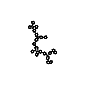 c1ccc(-c2ccc(N(c3ccc(-c4cccc(-c5ccn6c(c5)c(-c5ccccc5)c5c7ccccc7c7cc(-c8ccc(N(c9ccc(-c%10cccc%11ccccc%10%11)cc9)c9ccc(-c%10cccc%11ccccc%10%11)cc9)cc8)ccc7c56)c4)cc3)c3ccc(-c4ccc5c(c4)c4ccccc4c4c(-c6ccccc6)c6ccccn6c54)cc3)cc2)cc1